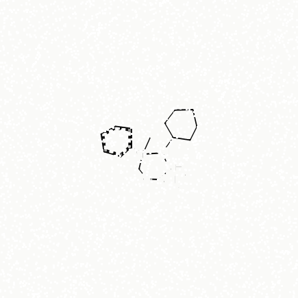 C[Si]1(c2ccccc2)CO[SiH2][SiH2][SiH]1C1CCCCC1